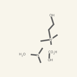 CN(C)C.C[N+](C)(C)CCO.O.O=C(O)O